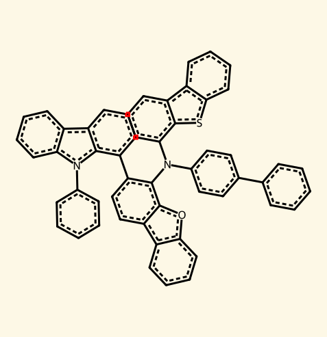 c1ccc(-c2ccc(N(c3c(-c4cccc5c6ccccc6n(-c6ccccc6)c45)ccc4c3oc3ccccc34)c3cccc4c3sc3ccccc34)cc2)cc1